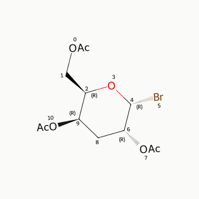 CC(=O)OC[C@H]1O[C@H](Br)[C@H](OC(C)=O)C[C@H]1OC(C)=O